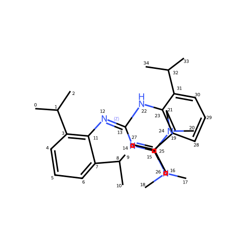 CC(C)c1cccc(C(C)C)c1/N=C(\N=C(N(C)C)N(C)C)Nc1c(C(C)C)cccc1C(C)C